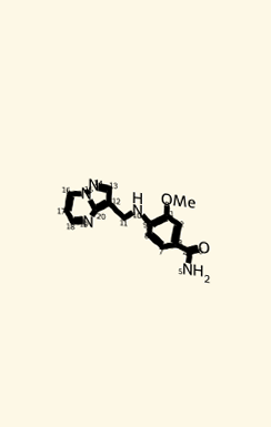 COc1cc(C(N)=O)ccc1NCc1cnn2cccnc12